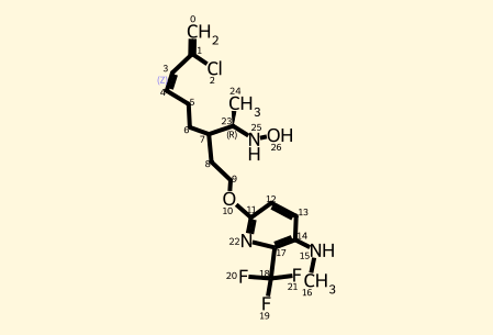 C=C(Cl)/C=C\CCC(CCOc1ccc(NC)c(C(F)(F)F)n1)[C@@H](C)NO